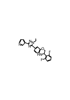 CCn1nc(-c2cccnc2)nc1-c1ccc2c(c1)OCC(c1c(F)cccc1F)N2